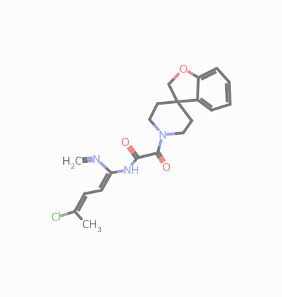 C=N/C(=C\C=C(/C)Cl)NC(=O)C(=O)N1CCC2(CC1)COc1ccccc12